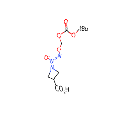 CC(C)(C)OC(=O)OCON=[N+]([O-])N1CC(C(=O)O)C1